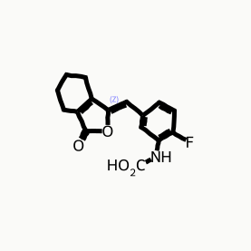 O=C(O)Nc1cc(/C=C2\OC(=O)C3=C2CCCC3)ccc1F